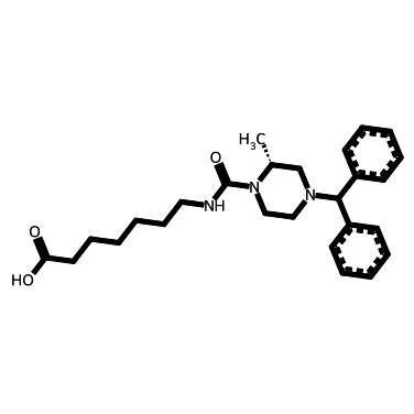 C[C@@H]1CN(C(c2ccccc2)c2ccccc2)CCN1C(=O)NCCCCCCC(=O)O